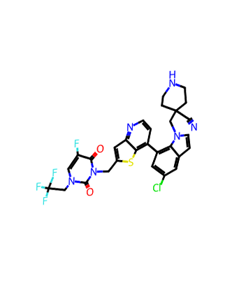 N#CC1(Cn2ccc3cc(Cl)cc(-c4ccnc5cc(Cn6c(=O)c(F)cn(CC(F)(F)F)c6=O)sc45)c32)CCNCC1